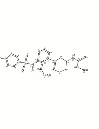 Cc1ccc(S(=O)(=O)n2cc(C(=O)O)c3c(C4=CCCC(NC(=O)OC(C)(C)C)C4)ccnc32)cc1